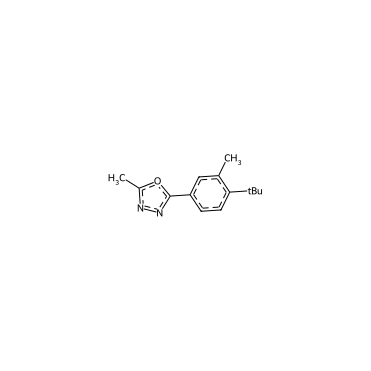 Cc1nnc(-c2ccc(C(C)(C)C)c(C)c2)o1